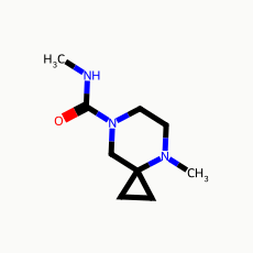 CNC(=O)N1CCN(C)C2(CC2)C1